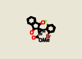 COC(=O)[C@H]1[C@H](c2c(F)cccc2Br)C12C(=O)c1ccccc1C2=O